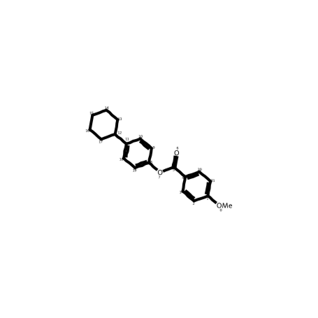 COc1ccc(C(=O)Oc2ccc(C3CCCCC3)cc2)cc1